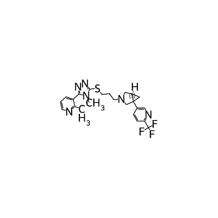 Cc1ncccc1-c1nnc(SCCCN2C[C@H]3CC3(c3ccc(C(F)(F)F)nc3)C2)n1C